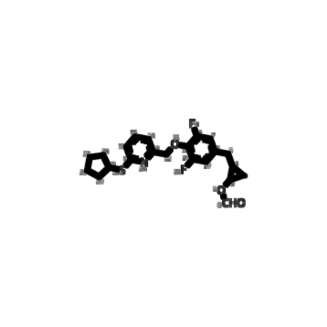 O=COC1CC1Cc1cc(F)c(OCc2cccc(SC3CCCC3)n2)c(F)c1